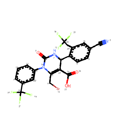 N#Cc1ccc(C2NC(=O)N(c3cccc(C(F)(F)F)c3)C(CBr)=C2C(=O)O)c(C(F)(F)F)c1